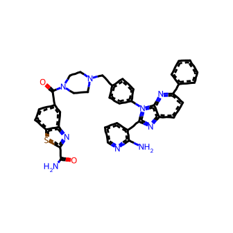 NC(=O)c1nc2cc(C(=O)N3CCN(Cc4ccc(-n5c(-c6cccnc6N)nc6ccc(-c7ccccc7)nc65)cc4)CC3)ccc2s1